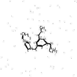 C=C[n+]1ccn(Cc2cc(CC)cc(CCC)c2)c1